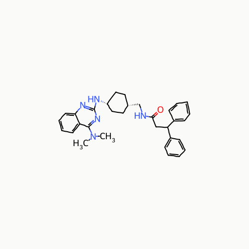 CN(C)c1nc(N[C@H]2CC[C@@H](CNC(=O)CC(c3ccccc3)c3ccccc3)CC2)nc2ccccc12